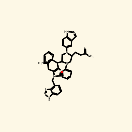 NC(=O)CCC1CN(c2ccccc2)C(C(c2ccccc2)c2ncn(Cc3cccc4[nH]nnc34)c2CC(N)=O)CN1c1ccc2[nH]ncc2c1